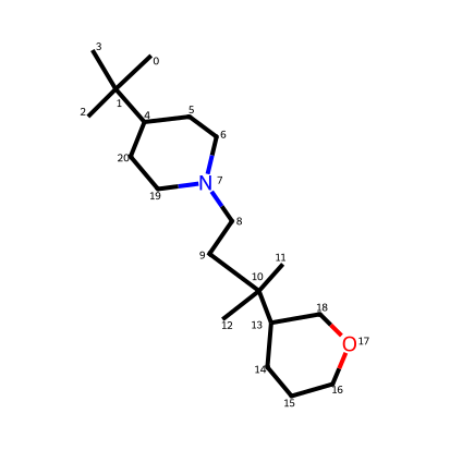 CC(C)(C)C1CCN(CCC(C)(C)C2CCCOC2)CC1